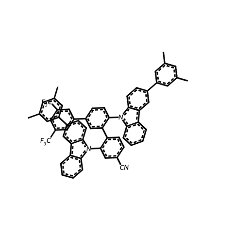 Cc1cc(C)cc(-c2ccc3c(c2)c2ccccc2n3-c2ccc(-c3cc(C(F)(F)F)cc(C(F)(F)F)c3)cc2-c2ccc(C#N)cc2-n2c3ccccc3c3cc(-c4cc(C)cc(C)c4)ccc32)c1